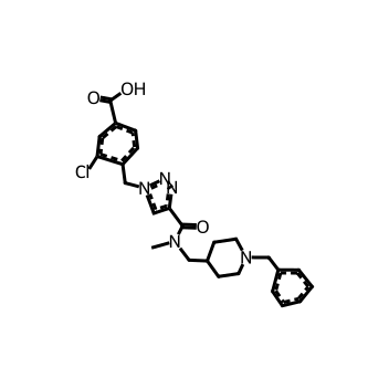 CN(CC1CCN(Cc2ccccc2)CC1)C(=O)c1cn(Cc2ccc(C(=O)O)cc2Cl)nn1